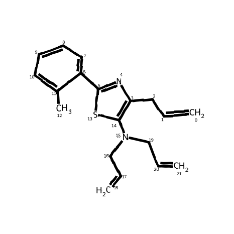 C=CCc1nc(-c2ccccc2C)sc1N(CC=C)CC=C